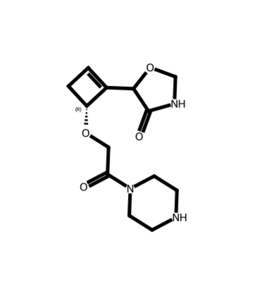 O=C1NCOC1C1=CC[C@H]1OCC(=O)N1CCNCC1